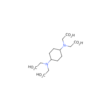 O=C(O)CN(CC(=O)O)C1CCC(N(CC(=O)O)CC(=O)O)CC1